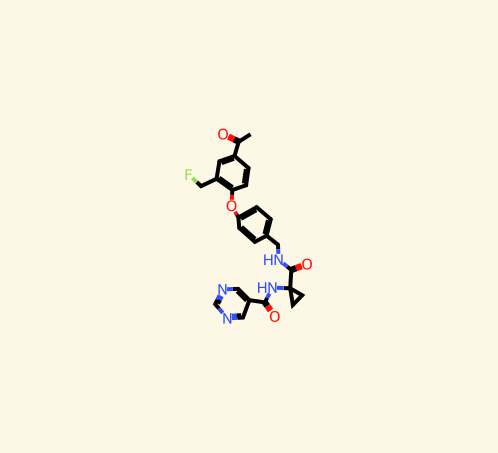 CC(=O)c1ccc(Oc2ccc(CNC(=O)C3(NC(=O)c4cncnc4)CC3)cc2)c(CF)c1